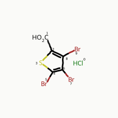 Cl.O=C(O)c1sc(Br)c(Br)c1Br